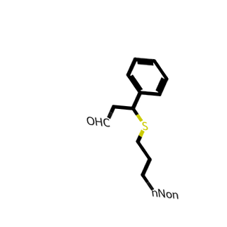 CCCCCCCCCCCCSC(CC=O)c1ccccc1